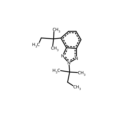 CCC(C)(C)c1cccc2nn(C(C)(C)CC)nc12